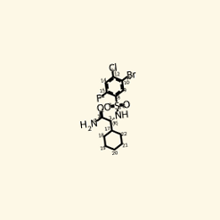 NC(=O)[C@H](NS(=O)(=O)c1cc(Br)c(Cl)cc1F)C1CCCCC1